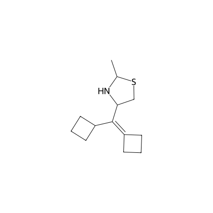 CC1NC(C(=C2CCC2)C2CCC2)CS1